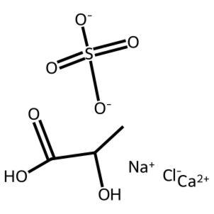 CC(O)C(=O)O.O=S(=O)([O-])[O-].[Ca+2].[Cl-].[Na+]